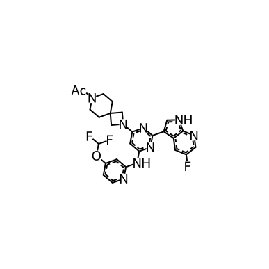 CC(=O)N1CCC2(CC1)CN(c1cc(Nc3cc(OC(F)F)ccn3)nc(-c3c[nH]c4ncc(F)cc34)n1)C2